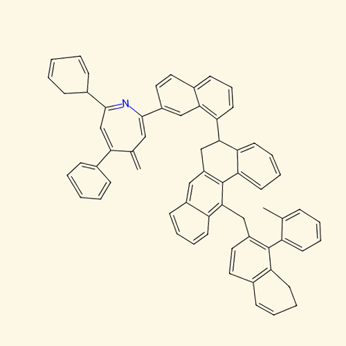 C=C1C=C(c2ccc3cccc(C4Cc5cc6ccccc6c(Cc6ccc7c(c6-c6ccccc6C)CCC=C7)c5-c5ccccc54)c3c2)N=C(C2C=CC=CC2)C=C1c1ccccc1